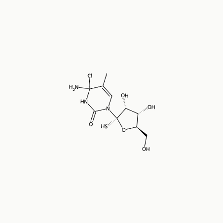 CC1=CN([C@]2(S)O[C@H](CO)[C@@H](O)[C@H]2O)C(=O)NC1(N)Cl